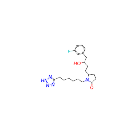 O=C1CCC(CCC(O)Cc2cccc(F)c2)N1CCCCCCc1nn[nH]n1